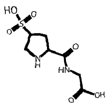 O=C(O)CNC(=O)C1CC(S(=O)(=O)O)CN1